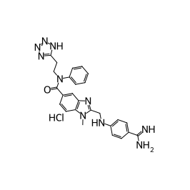 Cl.Cn1c(CNc2ccc(C(=N)N)cc2)nc2cc(C(=O)N(CCc3nnn[nH]3)c3ccccc3)ccc21